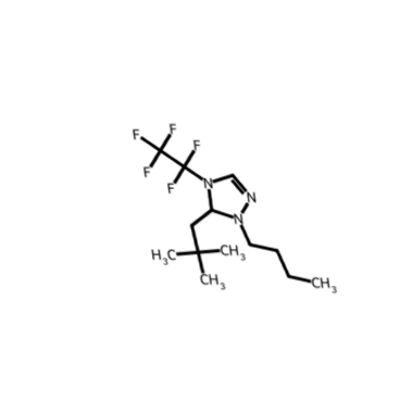 CCCCN1N=CN(C(F)(F)C(F)(F)F)C1CC(C)(C)C